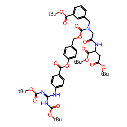 CC(C)(C)OC(=O)C[C@H](NC(=O)CN(Cc1cccc(C(=O)OC(C)(C)C)c1)C(=O)OCc1ccc(OC(=O)c2ccc(NC(=NC(=O)OC(C)(C)C)NC(=O)OC(C)(C)C)cc2)cc1)C(=O)OC(C)(C)C